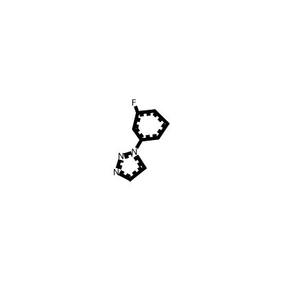 Fc1cccc(-n2c[c]nn2)c1